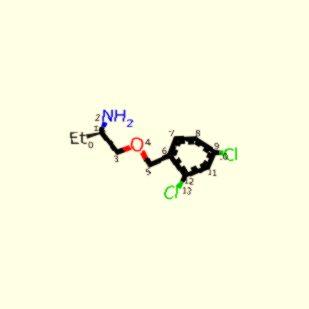 CC[C@@H](N)COCc1ccc(Cl)cc1Cl